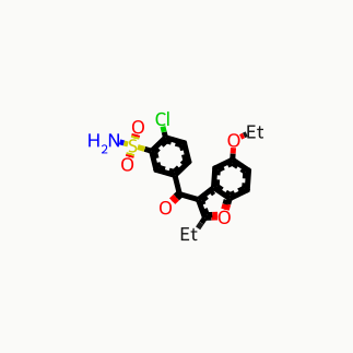 CCOc1ccc2oc(CC)c(C(=O)c3ccc(Cl)c(S(N)(=O)=O)c3)c2c1